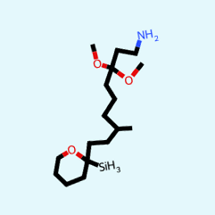 COC(CCN)(CCCC(C)CCC1([SiH3])CCCCO1)OC